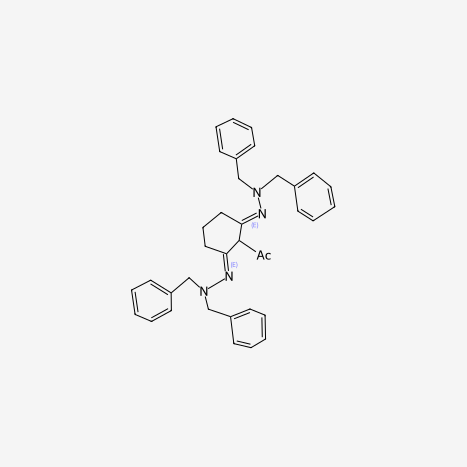 CC(=O)C1/C(=N/N(Cc2ccccc2)Cc2ccccc2)CCC/C1=N\N(Cc1ccccc1)Cc1ccccc1